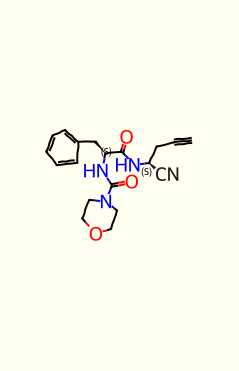 C#CC[C@@H](C#N)NC(=O)[C@H](Cc1ccccc1)NC(=O)N1CCOCC1